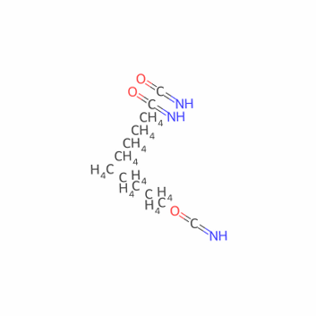 C.C.C.C.C.C.C.C.C.N=C=O.N=C=O.N=C=O